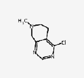 CN1CCc2c(Cl)ncnc2C1